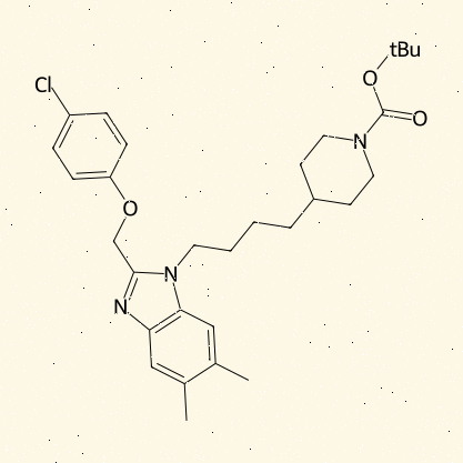 Cc1cc2nc(COc3ccc(Cl)cc3)n(CCCCC3CCN(C(=O)OC(C)(C)C)CC3)c2cc1C